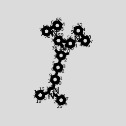 Cc1cc(-c2ccc(-c3ccc(-c4cc(-c5ccccc5)nc(-c5ccccc5)n4)cc3)cc2)cc(C)c1-n1c2ccc(-n3c4ccccc4c4ccccc43)cc2c2cc(-n3c4ccccc4c4ccccc43)ccc21